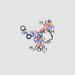 CC(C)n1c(O[C@@H]2C[C@H]3C(=O)C[C@]4(C(=O)NS(=O)(=O)C5(C)CC5)C[C@H]4/C=C\CCCCC[C@H](NC(=O)OC(C)(C)C)C(=O)N3C2)nc2c(-c3nc4c(s3)CCCC4)cccc21